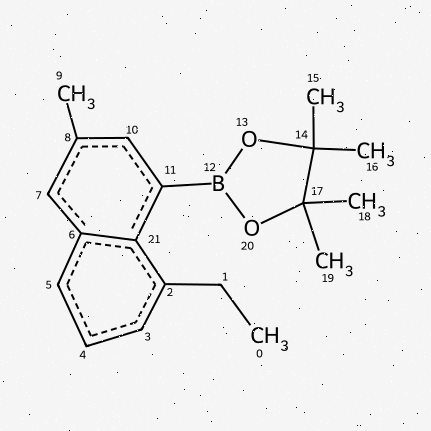 CCc1cccc2cc(C)cc(B3OC(C)(C)C(C)(C)O3)c12